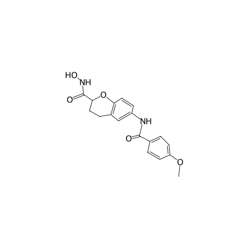 COc1ccc(C(=O)Nc2ccc3c(c2)CCC(C(=O)NO)O3)cc1